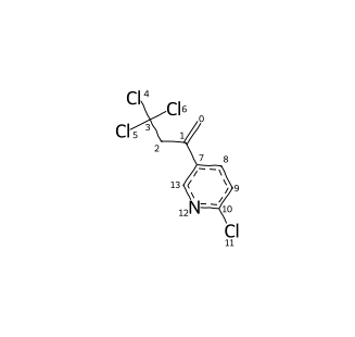 C=C(CC(Cl)(Cl)Cl)c1ccc(Cl)nc1